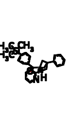 C[Si](C)(C)c1ccc(C(=O)C23CC(c4ccccc4)(C[C@H]2c2ccccn2)C3)cc1